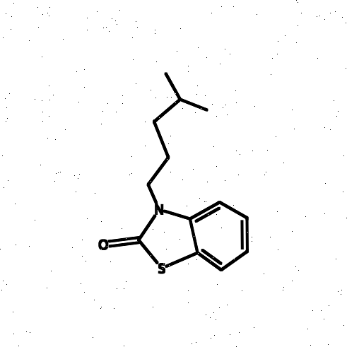 CC(C)CCCn1c(=O)sc2ccccc21